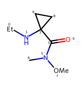 CCNC1(C(=O)N(C)OC)CC1